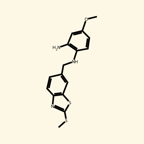 COc1ccc(NCc2ccc3nc(SC)sc3c2)c(N)c1